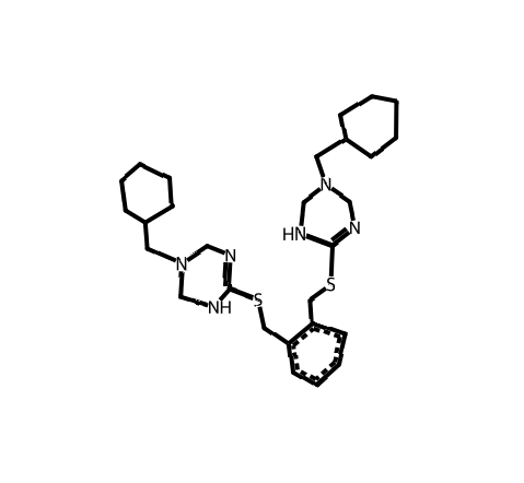 c1ccc(CSC2=NCN(CC3CCCCC3)CN2)c(CSC2=NCN(CC3CCCCC3)CN2)c1